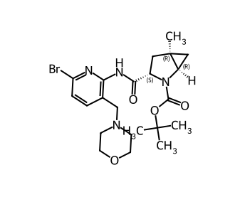 CC(C)(C)OC(=O)N1[C@H](C(=O)Nc2nc(Br)ccc2CN2CCOCC2)C[C@@]2(C)C[C@@H]12